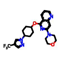 FC(F)(F)c1cnn(C2CCC(Oc3nc(N4CCOCC4)cc4ncccc34)CC2)c1